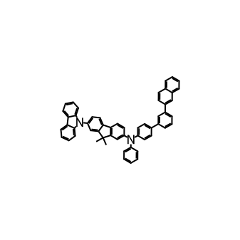 CC1(C)c2cc(N(c3ccccc3)c3ccc(-c4cccc(-c5ccc6ccccc6c5)c4)cc3)ccc2-c2ccc(-n3c4ccccc4c4ccccc43)cc21